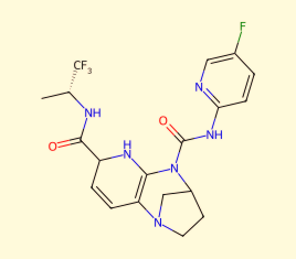 C[C@@H](NC(=O)C1C=CC2=C(N1)N(C(=O)Nc1ccc(F)cn1)C1CCN2C1)C(F)(F)F